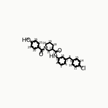 O=C(Nc1cccc(Cc2ccc(Cl)cc2)c1)C1CCCN(C(=O)c2ccc(O)cc2)C1